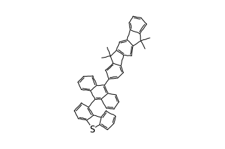 CC1(C)c2ccccc2-c2cc3c(cc21)-c1ccc(-c2c4ccccc4c(-c4cccc5sc6ccccc6c45)c4ccccc24)cc1C3(C)C